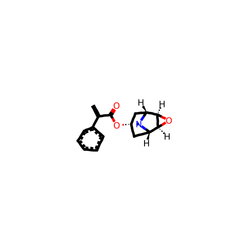 C=C(C(=O)O[C@@H]1C[C@@H]2[C@H]3O[C@H]3[C@H](C1)N2C)c1ccccc1